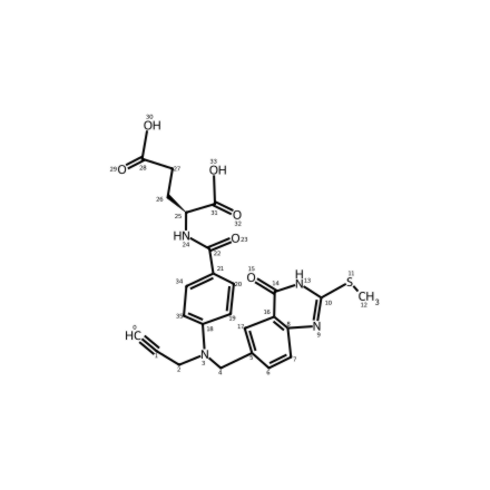 C#CCN(Cc1ccc2nc(SC)[nH]c(=O)c2c1)c1ccc(C(=O)N[C@@H](CCC(=O)O)C(=O)O)cc1